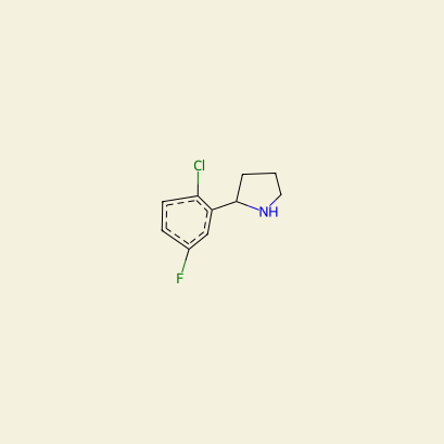 Fc1ccc(Cl)c(C2CCCN2)c1